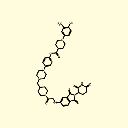 N#Cc1ccc(N2CCC(C(=O)Nc3ccc(N4CCN(CC5CCN(C(=O)CNc6ccc7c(c6)C(=O)N(C6CCC(=O)NC6=O)C7=O)CC5)CC4)cn3)CC2)cc1C(F)(F)F